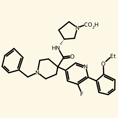 CCOc1ccccc1-c1ncc(C2(C(=O)N[C@@H]3CCN(C(=O)O)C3)CCN(Cc3ccccc3)CC2)cc1F